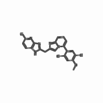 COc1cc(Cl)c(-c2cccc3nc(Cc4nc5nc(Cl)ccc5[nH]4)cn23)cc1Cl